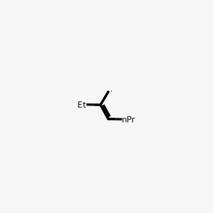 [CH2]C(=CCCC)CC